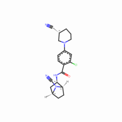 N#C[C@@H]1CCCN(c2ccc(C(=O)N[C@@H]3C[C@@H]4CC[C@H]3N4C#N)c(Cl)c2)C1